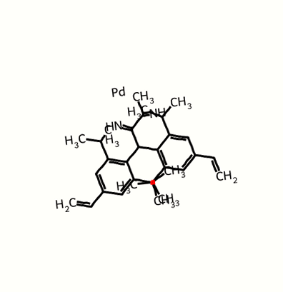 C=Cc1cc(C(C)C)c(C(C(=N)C(C)=N)c2c(C(C)C)cc(C=C)cc2C(C)C)c(C(C)C)c1.[Pd]